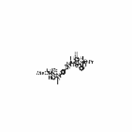 CCCOC(=O)N[C@@H](C(=O)N1CCNCC1C(=O)Nc1cn2cc(-c3ccc(-c4c[nH]c(C5CCCN5C(=O)[C@@H](NC(=O)OC)C(C)C)n4)cc3)sc2n1)c1ccccc1